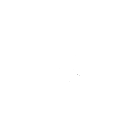 Cc1cc(C(=O)c2ccccc2)c(C(=O)c2ccccc2)c(C(=O)c2ccccc2)c1C